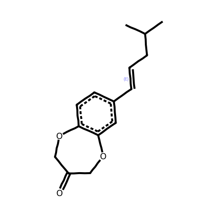 CC(C)C/C=C/c1ccc2c(c1)OCC(=O)CO2